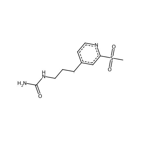 CS(=O)(=O)c1cc([CH]CCNC(N)=O)ccn1